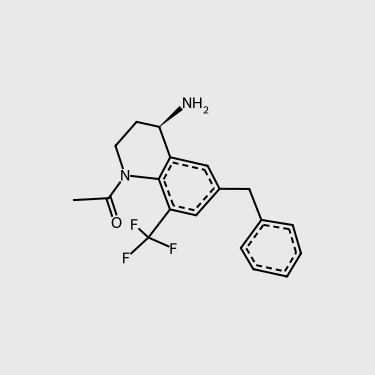 CC(=O)N1CC[C@@H](N)c2cc(Cc3ccccc3)cc(C(F)(F)F)c21